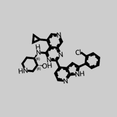 O[C@@H]1CNCC[C@H]1Nc1nc(-c2ccnc3[nH]c(-c4ccccc4Cl)cc23)nc2cncc(C3CC3)c12